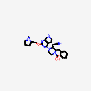 CN1CCCC1COc1nc2c(c(N3CCN(C(=O)O)C(Cc4ccccc4)C3CC#N)n1)CCNC2